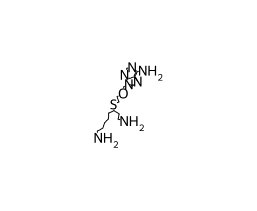 NCCCCCC(CCN)SCCOCn1cnc2c(N)ncnc21